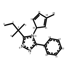 CCC(C)(C)c1nnc(-c2ccccc2)n1C1C=CC(C)=C1